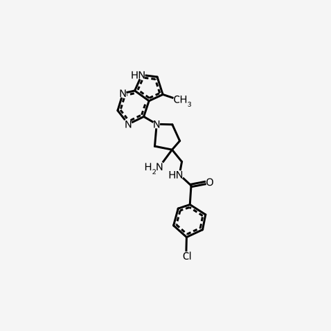 Cc1c[nH]c2ncnc(N3CCC(N)(CNC(=O)c4ccc(Cl)cc4)C3)c12